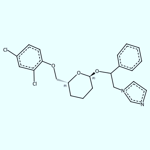 Clc1ccc(OC[C@H]2CCC[C@H](OC(Cn3ccnc3)c3ccccc3)O2)c(Cl)c1